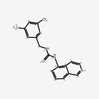 O=C(NCc1cc(C(F)(F)F)cc(C(F)(F)F)c1)Nc1cccc2cnccc12